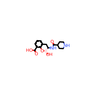 O=C(O)c1cccc2c1OB(O)C(NC(=O)C1CCNCC1)C2